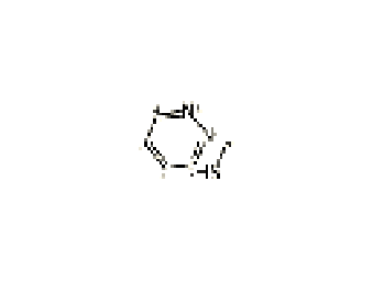 CS.c1ccnnc1